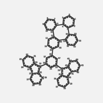 c1ccc2c(c1)-c1ccccc1-c1ccc(-c3cc(-n4c5ccccc5c5cccnc54)cc(-n4c5ccccc5c5cccnc54)c3)cc1-c1ccccc1-2